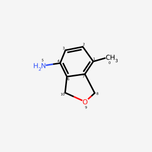 Cc1ccc(N)c2c1COC2